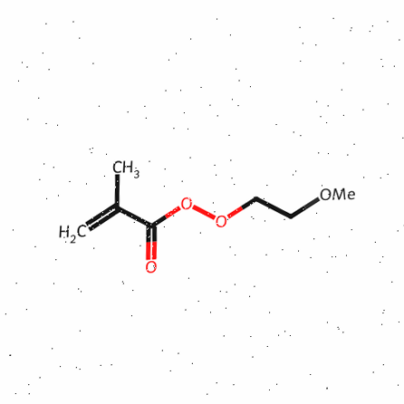 C=C(C)C(=O)OOCCOC